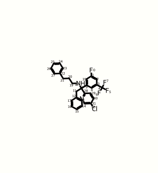 Fc1cc(C(F)(F)F)cc(C(Cc2ccccc2)(NCCCc2ccccc2)c2ccc(Cl)cn2)c1